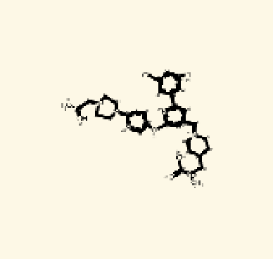 C[C@@H](O)CN1CCN(c2ccc(Oc3cc(CN4CCC(CN(C)C(=O)O)CC4)cc(-c4cc(Cl)cc(Cl)c4)n3)cn2)CC1